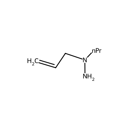 C=CCN(N)CCC